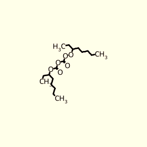 CCCCCC(CC)OOC(=O)OC(=O)OC(CC)CCCCC